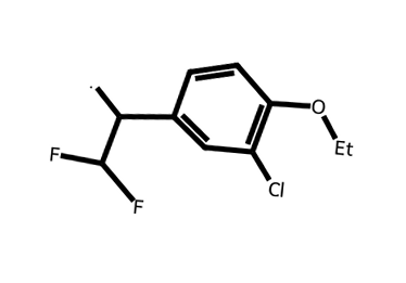 [CH2]C(c1ccc(OCC)c(Cl)c1)C(F)F